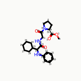 COC(=O)[C@@H]1CCCN1C(=O)CNC(=O)C(Nc1ccccc1)C1CCCCC1